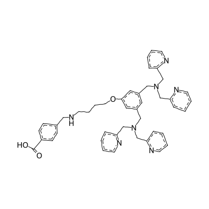 O=C(O)c1ccc(CNCCCCOc2cc(CN(Cc3ccccn3)Cc3ccccn3)cc(CN(Cc3ccccn3)Cc3ccccn3)c2)cc1